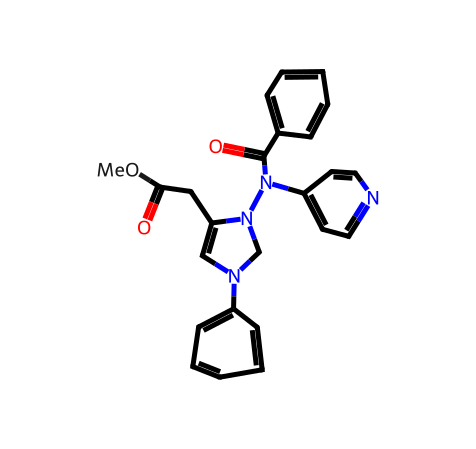 COC(=O)CC1=CN(c2ccccc2)CN1N(C(=O)c1ccccc1)c1ccncc1